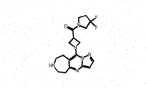 O=C(C1CN(c2c3c(nc4ccnn24)CCNCC3)C1)N1CCC(F)(F)C1